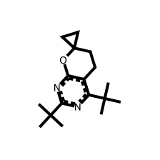 CC(C)(C)c1nc2c(c(C(C)(C)C)n1)CCC1(CC1)O2